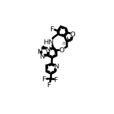 Fc1ccc2c3c1CNc1c(cc(-c4ccc(C(F)(F)F)cn4)c4nncn14)OC[C@@H]3CO2